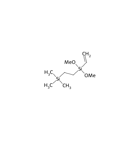 C=C[Si](CC[Si](C)(C)C)(OC)OC